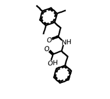 Cc1cc(C)c(CC(=O)NC(Cc2ccccc2)C(=O)O)c(C)c1